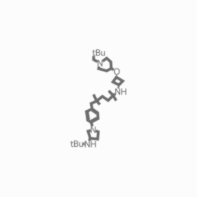 CC(C)(C)CN1CCC(O[C@H]2C[C@H](NC(C)(C)CCC(C)(C)Cc3ccc(N4CCC(NC(C)(C)C)C4)cc3)C2)CC1